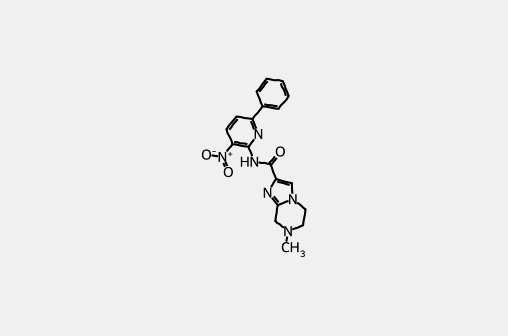 CN1CCn2cc(C(=O)Nc3nc(-c4ccccc4)ccc3[N+](=O)[O-])nc2C1